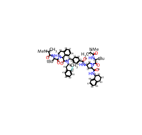 CN[C@@H](C)C(=O)NC(C(=O)N1CC(NC(=O)c2ccc(CN(C(=O)C3c4ccccc4CCN3C(=O)C(NC(=O)[C@H](C)NC)C(C)(C)C)[C@H](C)Cc3ccccc3F)cc2)CC1C(=O)NC1CCCc2ccccc21)C(C)(C)C